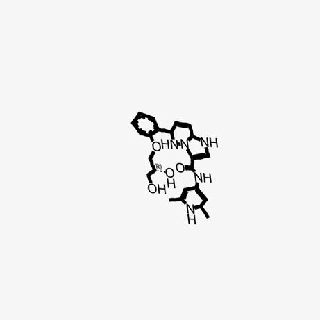 CC1=CC(NC(=O)C2=CNC3C=CC(c4ccccc4OC[C@H](O)CO)NN23)=CC(C)N1